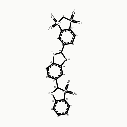 O=S1(=O)CS(=O)(=O)c2cc(C3Sc4ccc(C5Oc6ccccc6S5(=O)=O)cc4S3)ccc21